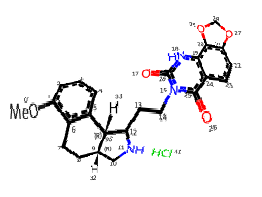 COc1cccc2c1CC[C@H]1CNC(CCn3c(=O)[nH]c4c5c(ccc4c3=O)OCO5)[C@@H]21.Cl